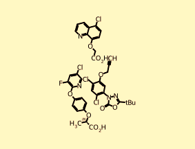 C#CCOc1cc(-n2nc(C(C)(C)C)oc2=O)c(Cl)cc1Cl.C[C@@H](Oc1ccc(Oc2ncc(Cl)cc2F)cc1)C(=O)O.O=C(O)COc1ccc(Cl)c2cccnc12